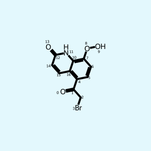 O=C(CBr)c1ccc(OO)c2[nH]c(=O)ccc12